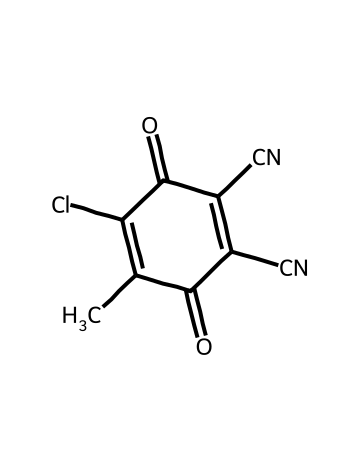 CC1=C(Cl)C(=O)C(C#N)=C(C#N)C1=O